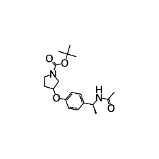 CC(=O)N[C@@H](C)c1ccc(OC2CCN(C(=O)OC(C)(C)C)C2)cc1